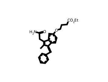 CCOC(=O)CCCOc1ccc2c(c1)C(CC(N)=O)=C(C)/C2=C\c1ccccc1